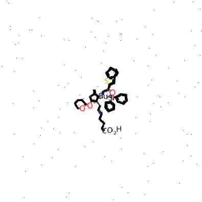 C=C1C[C@H](OC2CCCCO2)[C@H](C/C=C/CCCC(=O)O)[C@H]1/C=C/[C@@H](O[Si](c1ccccc1)(c1ccccc1)C(C)(C)C)c1cc2ccccc2s1